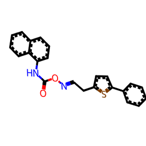 O=C(Nc1cccc2ccccc12)ON=CCc1ccc(-c2ccccc2)s1